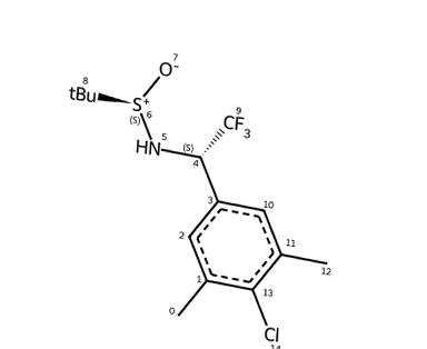 Cc1cc([C@H](N[S@+]([O-])C(C)(C)C)C(F)(F)F)cc(C)c1Cl